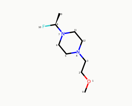 COCCN1CCN([C@H](C)F)CC1